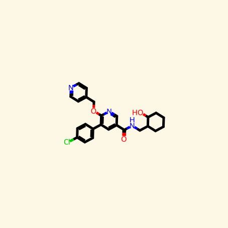 O=C(NCC1CCCCC1O)c1cnc(OCc2ccncc2)c(-c2ccc(Cl)cc2)c1